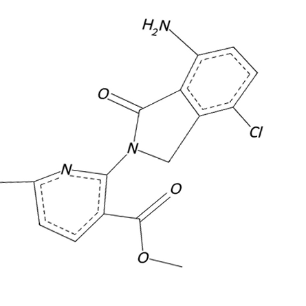 COC(=O)c1ccc(C)nc1N1Cc2c(Cl)ccc(N)c2C1=O